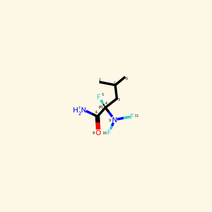 CC(C)C[C@@](F)(C(N)=O)N(F)F